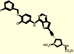 CCOC(=O)N[C@H]1C[C@@H](C#Cc2cc3ncnc(Nc4ccc(OCc5cccc(F)c5)c(Cl)c4)c3s2)N(C(=O)O)C1